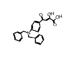 O=C(O)C(O)=CC(=O)c1ccc(N(Cc2ccccc2)Cc2ccccc2)cc1